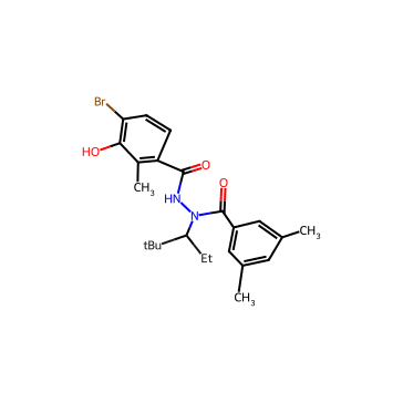 CCC(N(NC(=O)c1ccc(Br)c(O)c1C)C(=O)c1cc(C)cc(C)c1)C(C)(C)C